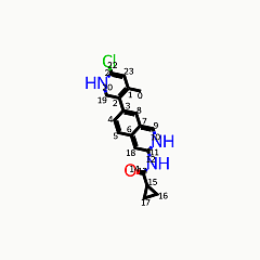 CC1=C(c2ccc3c(c2)=CNC(NC(=O)C2CC2)C=3)CNC(Cl)=C1